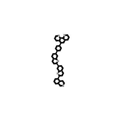 c1cc(-c2ccc3ccc(-c4ccc5ccc(-c6ccc(-c7cc8cccnc8c8ncccc78)cc6)cc5n4)cc3n2)c2ccncc2c1